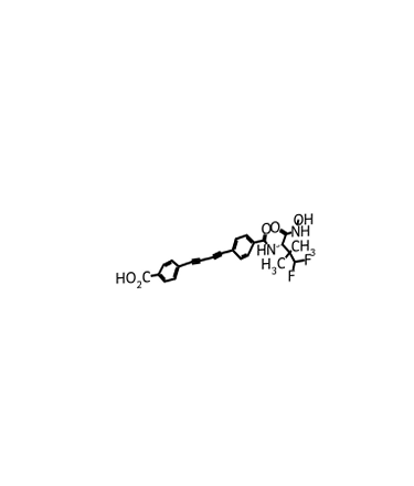 CC(C)(C(F)F)[C@H](NC(=O)c1ccc(C#CC#Cc2ccc(C(=O)O)cc2)cc1)C(=O)NO